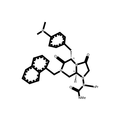 CCCN(C(=O)NC)N1CC(=O)N2[C@@H](Cc3ccc(N(C)C)cc3)C(=O)N(Cc3cccc4ccccc34)C[C@@H]21